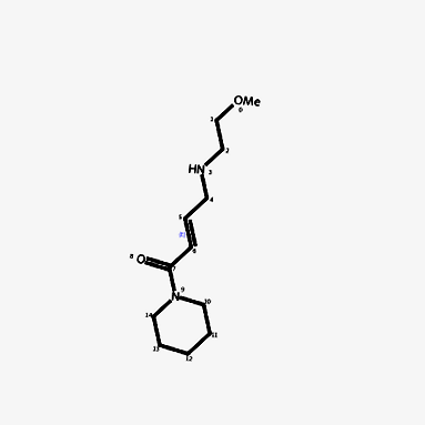 COCCNC/C=C/C(=O)N1CCCCC1